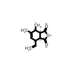 C=CC1C=C(C)C(C)C2C(=O)OC(=O)C12